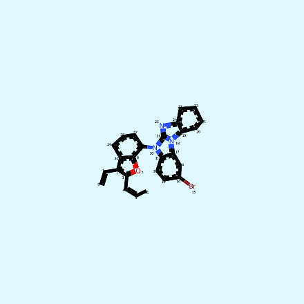 C=Cc1c(/C=C\C)oc2c(-n3c4ccc(Br)cc4n4c5ccccc5nc34)cccc12